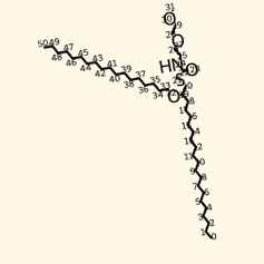 CCCCCCCCCCCCCCCCCCCC(CSC(=O)NCCOCCOC)OCCCCCCCCCCCCCCCCCC